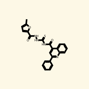 Cc1ccc(C(=O)NNC(=S)NC(=O)c2cc(-c3ccccc3)nc3ccccc23)o1